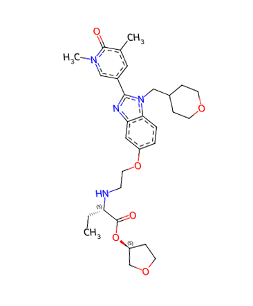 CC[C@H](NCCOc1ccc2c(c1)nc(-c1cc(C)c(=O)n(C)c1)n2CC1CCOCC1)C(=O)O[C@H]1CCOC1